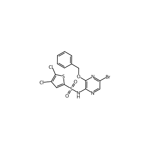 O=S(=O)(Nc1ncc(Br)nc1OCc1ccccc1)c1cc(Cl)c(Cl)s1